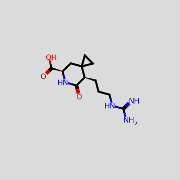 N=C(N)NCCC[C@H]1C(=O)N[C@@H](C(=O)O)CC12CC2